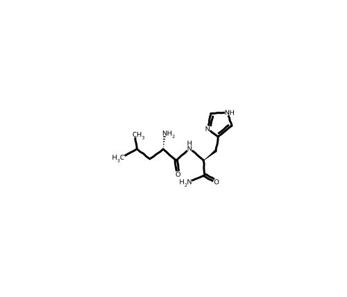 CC(C)C[C@H](N)C(=O)N[C@@H](Cc1c[nH]cn1)C(N)=O